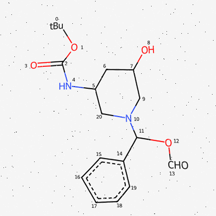 CC(C)(C)OC(=O)NC1CC(O)CN(C(OC=O)c2ccccc2)C1